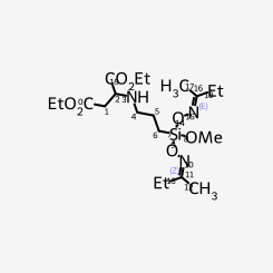 CCOC(=O)CC(NCCC[Si](OC)(O/N=C(/C)CC)O/N=C(\C)CC)C(=O)OCC